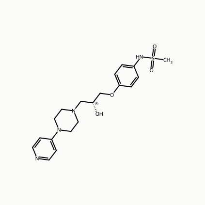 CS(=O)(=O)Nc1ccc(OC[C@H](O)CN2CCN(c3ccncc3)CC2)cc1